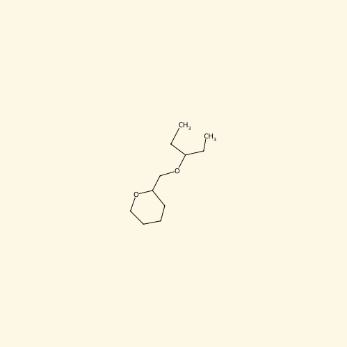 CCC(CC)OCC1CCCCO1